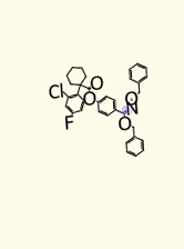 O=C(Oc1ccc(/C(=N\OCc2ccccc2)OCc2ccccc2)cc1)C1(c2ccc(F)cc2Cl)CCCCC1